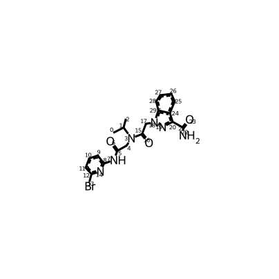 CC(C)N(CC(=O)Nc1cccc(Br)n1)C(=O)Cn1nc(C(N)=O)c2ccccc21